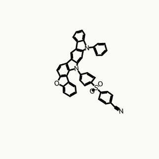 N#Cc1ccc(S(=O)(=O)c2ccc(-n3c4cc5c(cc4c4ccc6oc7ccccc7c6c43)c3ccccc3n5-c3ccccc3)cc2)cc1